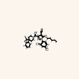 CCCCCOc1c(C#N)c(C(=O)N2CCC(C(C)=O)(c3ccccc3)CC2)nn1-c1ccc(Cl)cc1Cl